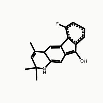 CC1=CC(C)(C)NC2=CC3=C(O)c4cccc(F)c4C3=CC12